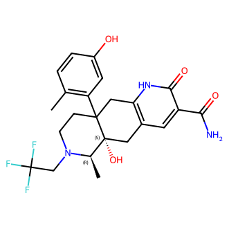 Cc1ccc(O)cc1C12CCN(CC(F)(F)F)[C@H](C)[C@]1(O)Cc1cc(C(N)=O)c(=O)[nH]c1C2